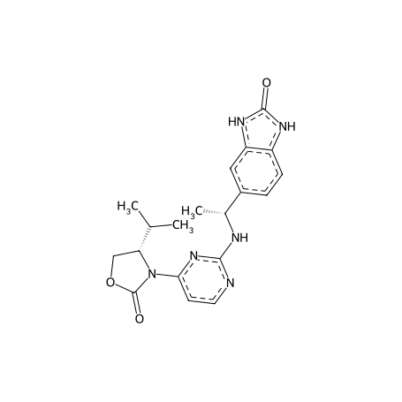 CC(C)[C@H]1COC(=O)N1c1ccnc(N[C@H](C)c2ccc3[nH]c(=O)[nH]c3c2)n1